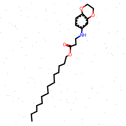 CCCCCCCCCCCCCCOC(=O)CCNc1ccc2c(c1)OCCO2